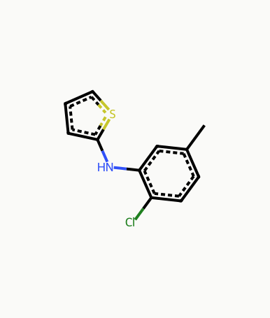 Cc1ccc(Cl)c(Nc2cccs2)c1